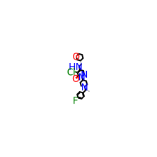 C[C@H](c1ccc(F)cc1)N1CCC(n2ncc(NC[C@H]3CCCOC3)c(Cl)c2=O)CC1